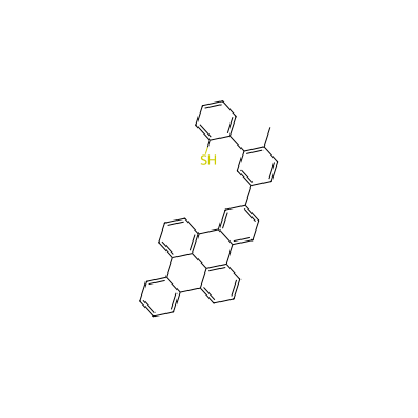 Cc1ccc(-c2ccc3c(c2)c2cccc4c5ccccc5c5cccc3c5c42)cc1-c1ccccc1S